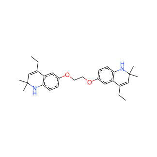 CCC1=CC(C)(C)Nc2ccc(OCCOc3ccc4c(c3)C(CC)=CC(C)(C)N4)cc21